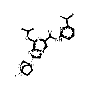 CC(C)Oc1nc(C(=O)Nc2cccc(C(F)F)n2)cn2cc([C@]34CC[C@](C)(C3)OC4)nc12